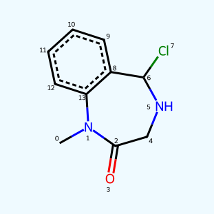 CN1C(=O)CNC(Cl)c2ccccc21